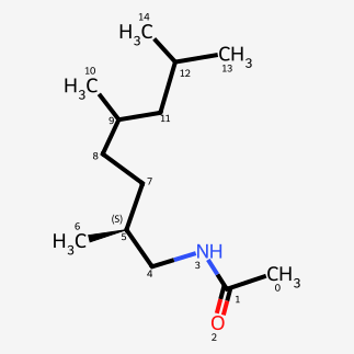 CC(=O)NC[C@@H](C)CCC(C)CC(C)C